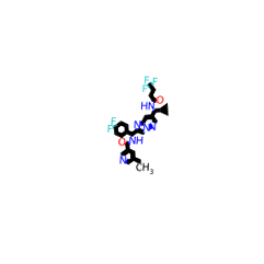 CCc1cncc(C(=O)N[C@H](c2cn3ncc(C(NC(=O)CCC(F)(F)F)C4CC4)cc3n2)C2CCC(F)(F)CC2)c1